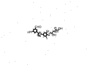 CCCc1cc(C=O)cc(-c2nc(-c3cc(C)c(OCC(O)CNC(=O)CO)c(CC)c3)no2)c1